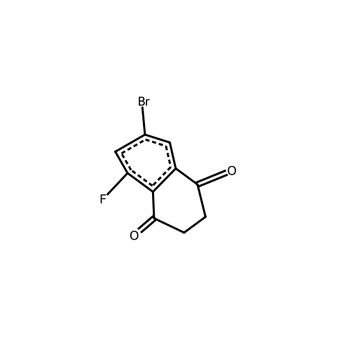 O=C1CCC(=O)c2c(F)cc(Br)cc21